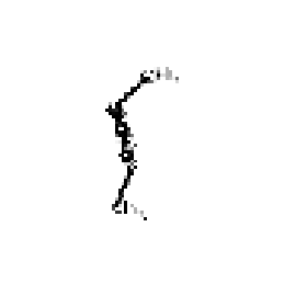 CCCCCCCCCc1nnc(-c2ccc(C(=O)Oc3ccc(OCCCCCCCC)cc3)cc2)s1